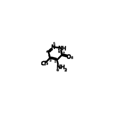 Nc1c(Cl)cn[nH]c1=O